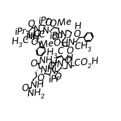 CC[C@H](C)[C@@H]([C@@H](CC(=O)N1CCC[C@H]1[C@@H](OC)[C@@H](C)C(=O)N[C@@H](C)[C@H](O)c1ccccc1)OC)N(C)C(=O)[C@@H](NC(=O)[C@H](C(C)C)N(C)C(=O)OCc1ccc(NC(=O)[C@@H](CCCNC(N)=O)NC(=O)[C@@H](NC(=O)[C@H](CNCC(=O)O)N2C(=O)C=CC2=O)C(C)C)cc1)C(C)C